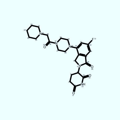 O=C1CCC(N2Cc3c(cc(F)cc3N3CCN(C(=O)CN4CCCCC4)CC3)C2=O)C(=O)N1